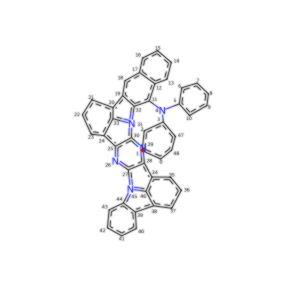 c1ccc(N(c2ccccc2)c2c3ccccc3cc3c4cccc5c6nc7c(nc6n(c23)c45)c2cccc3c4ccccc4n7c32)cc1